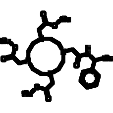 CC(C)(C)OC(=O)CN1CCN(CC(=O)NC(c2ccccc2)C(C)(C)C)CCN(CC(=O)OC(C)(C)C)CCN(CC(=O)OC(C)(C)C)CC1